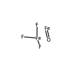 [F][Fe]([F])[F].[O]=[Fe]